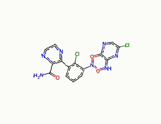 NC(=O)c1nccnc1-c1cccc(-n2o[nH]c3nc(Cl)cnc3o2)c1Cl